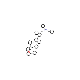 N=C(/C=C(\NCc1ccc(C2=C3C=CC=CC3C(N3c4ccccc4-c4c(n(-c5ccccc5-c5ccccc5)c5ccccc45)-c4ccccc43)C=C2)c2c1CCC=C2)c1ccccc1)c1ccccc1